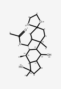 CC(=O)OCC1CC2(CCC1(C)C1C[C@H](C)C3C(CCC3(C)O)C1O)OCCO2